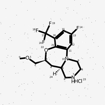 COC[C@@H]1C[C@@H]2CNCCN2c2cc(F)cc(C(F)(F)F)c2O1.Cl